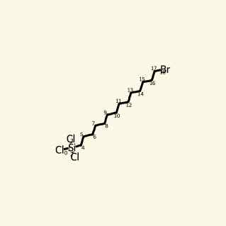 Cl[Si](Cl)(Cl)CCCCCCCCCCCCCCBr